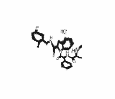 CNC(C)C(=O)NC(C(=O)N1c2ccccc2CC1C(=O)NCc1cc(F)ccc1C)c1ccccc1.Cl